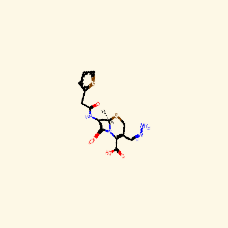 N/N=C\C1=C(C(=O)O)N2C(=O)C(NC(=O)Cc3cccs3)[C@H]2SC1